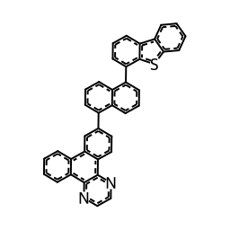 c1ccc2c(c1)sc1c(-c3cccc4c(-c5ccc6c(c5)c5ccccc5c5nccnc65)cccc34)cccc12